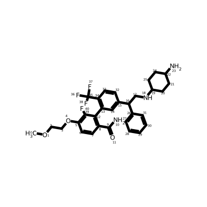 COCCOc1ccc(C(N)=O)c(-c2cc(C(CNC3CCC(N)CC3)c3ccccc3)ccc2C(F)(F)F)c1F